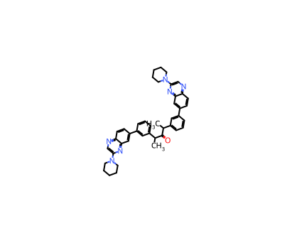 CC(C(=O)C(C)c1cccc(-c2ccc3ncc(N4CCCCC4)nc3c2)c1)c1cccc(-c2ccc3ncc(N4CCCCC4)nc3c2)c1